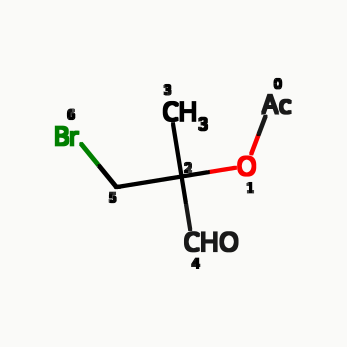 CC(=O)OC(C)(C=O)CBr